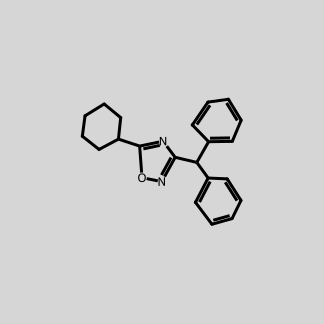 c1ccc(C(c2ccccc2)c2noc(C3CCCCC3)n2)cc1